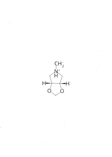 [CH2-][NH+]1C[C@@H]2OCO[C@@H]2C1